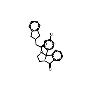 O=C(CC1Cc2ccccc2C1)N1CCN2C(=O)c3ccccc3C12c1ccc(Cl)cc1